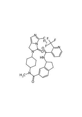 Cc1ncc2n1C(=O)N(C1CCC(N(C)C(=O)c3ccc4c(c3)C(NC(=O)c3cccnc3C(F)(F)F)CC4)CC1)C2